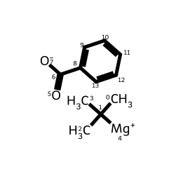 C[C](C)(C)[Mg+].O=C([O-])c1ccccc1